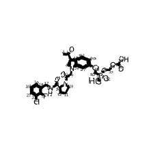 CC(=O)c1cn(CC(=O)N2CCC[C@H]2C(=O)NCc2cccc(Cl)c2F)c2cc(OCP(=O)(O)OCOC(=O)O)ccc12